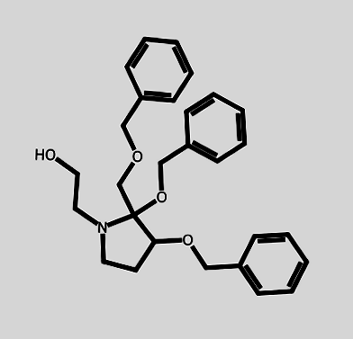 OCCN1CCC(OCc2ccccc2)C1(COCc1ccccc1)OCc1ccccc1